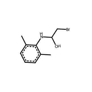 Cc1cccc(C)c1NC(O)CBr